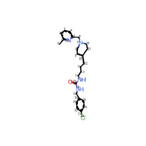 Cc1cccc(CN2CCC(CCCCNC(=O)NCc3ccc(Cl)cc3)CC2)n1